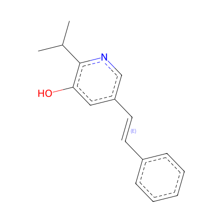 CC(C)c1ncc(/C=C/c2ccccc2)cc1O